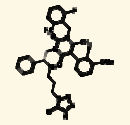 COc1cccc(-c2c(C)n(Cc3c(F)cccc3C(F)(F)F)c(=O)n(C[C@H](NCCCn3nn[nH]c3=O)c3ccccc3)c2=O)c1F